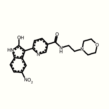 O=C(NCCN1CCOCC1)c1ccc(-c2c(O)[nH]c3ccc([N+](=O)[O-])cc23)nc1